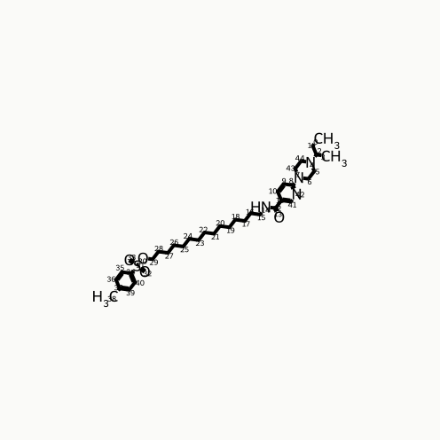 CCC(C)N1CCN(c2ccc(C(=O)NCCCCCCCCCCCCCCCOS(=O)(=O)c3ccc(C)cc3)cn2)CC1